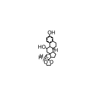 CC1(C2CCC3[C@@H]4CCc5cc(O)ccc5C4C(O)CC32C)OCCO1